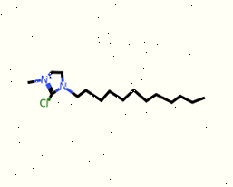 CCCCCCCCCCCCN1CC[N+](C)=C1Cl